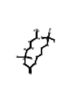 C=C(CCCCCC(C)(C)Cl)CC(C)(C)CCCCS